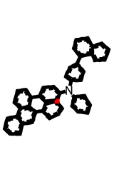 c1ccc(-c2cc3ccccc3c3cccc(-c4ccc(N(c5ccccc5)c5ccc(-c6cccc7ccccc67)cc5)cc4)c23)cc1